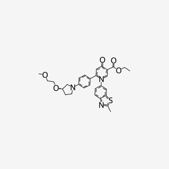 CCOC(=O)c1cn(-c2ccc3nc(C)sc3c2)c(-c2ccc(N3CC[C@@H](OCCOC)C3)cc2)cc1=O